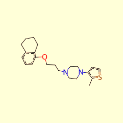 Cc1sccc1N1CCN(CCCOc2cccc3c2CCCC3)CC1